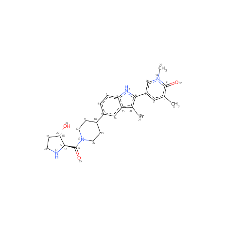 Cc1cc(-c2[nH]c3ccc(C4CCN(C(=O)[C@H]5NCC[C@@H]5O)CC4)cc3c2C(C)C)cn(C)c1=O